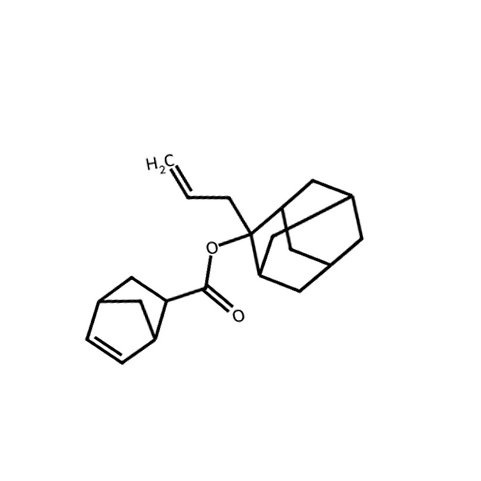 C=CCC1(OC(=O)C2CC3C=CC2C3)C2CC3CC(C2)CC1C3